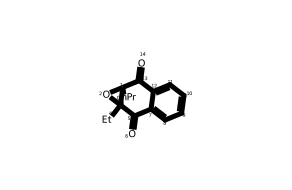 CCCC12OC1(CC)C(=O)c1ccccc1C2=O